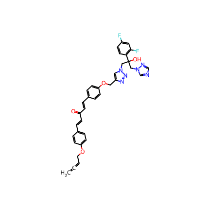 C=C=CCOc1ccc(C=CC(=O)C=Cc2ccc(OCc3cn(CC(O)(Cn4cncn4)c4ccc(F)cc4F)nn3)cc2)cc1